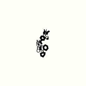 COc1cc(-c2cn(C(F)(F)C(=O)N(C3CCCCC3)C3CCCCC3)nn2)ccc1-n1cnc(C)c1